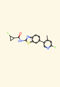 Cc1cc(F)ncc1-c1ccc2nc(NC(=O)C3CC3F)sc2c1